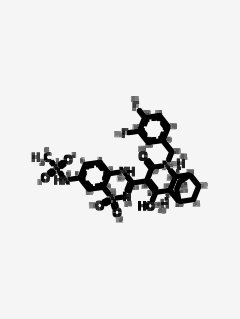 CS(=O)(=O)Nc1ccc2c(c1)S(=O)(=O)N=C(C1=C(O)[C@@H]3C4CCC(CC4)[C@@H]3N(Cc3ccc(F)c(F)c3)C1=O)N2